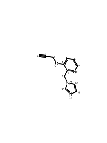 C#CCOc1cccnc1Cn1ccnc1